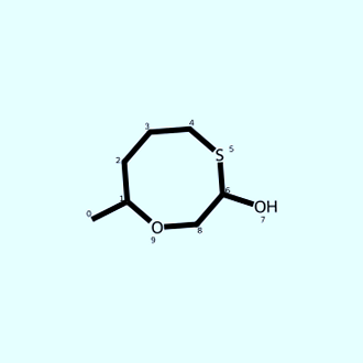 CC1CCCSC(O)CO1